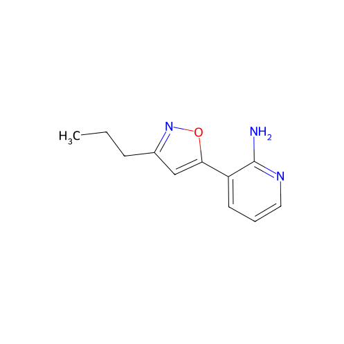 CCCc1cc(-c2cccnc2N)on1